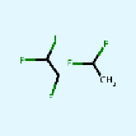 CC(F)F.FCC(F)F